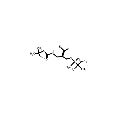 CC(C)(C)OC(=O)NCC(CO[Si](C)(C)C(C)(C)C)=C(F)F